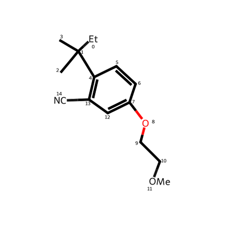 CCC(C)(C)c1ccc(OCCOC)cc1C#N